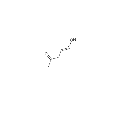 CC(=O)CC=NO